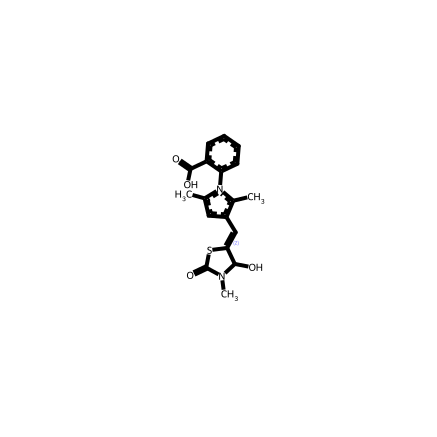 Cc1cc(/C=C2\SC(=O)N(C)C2O)c(C)n1-c1ccccc1C(=O)O